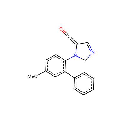 COc1ccc(N2CN=CC2=C=O)c(-c2ccccc2)c1